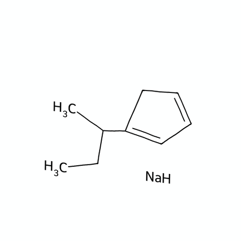 CCC(C)C1=CC=CC1.[NaH]